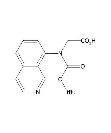 CC(C)(C)OC(=O)N(CC(=O)O)c1cccc2ccncc12